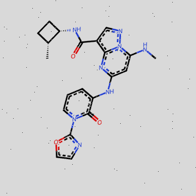 CNc1cc(Nc2cccn(-c3ncco3)c2=O)nc2c(C(=O)N[C@H]3CC[C@H]3C)cnn12